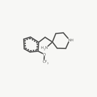 NC1(Cc2ccccc2OC(F)(F)F)CCNCC1